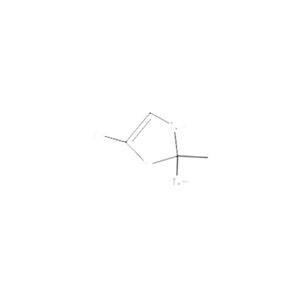 CC1(N)NC=C(Cl)S1